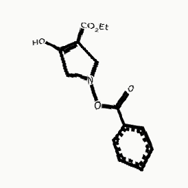 CCOC(=O)C1=C(O)CN(OC(=O)c2ccccc2)C1